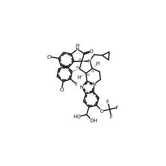 O=C1Nc2cc(Cl)ccc2[C@@]12[C@@H](c1cccc(Cl)c1F)[C@@H]1c3nc4cc(C(O)O)c(OC(F)(F)F)cc4n3CC[C@@H]1N2CC1CC1